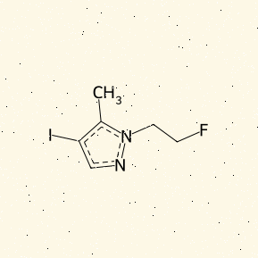 Cc1c(I)cnn1CCF